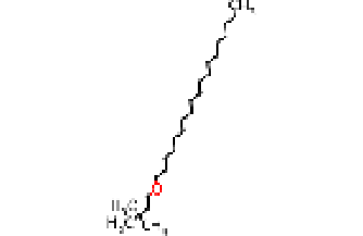 CCCCCCCCCCCCCCCCCCCOCCC(C)(C)C